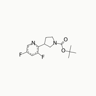 CC(C)(C)OC(=O)N1CCC(c2ncc(F)cc2F)C1